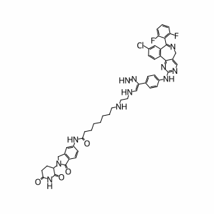 N=N/C(=C\NCCNCCCCCCCC(=O)Nc1ccc2c(c1)CN(C1CCC(=O)NC1=O)C2=O)c1ccc(Nc2ncc3c(n2)-c2ccc(Cl)cc2C(c2c(F)cccc2F)=NC3)cc1